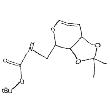 CC(C)(C)OC(=O)NCC1OC=CC2OC(C)(C)OC21